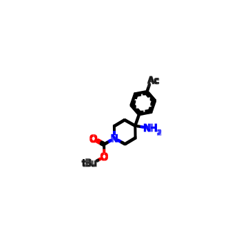 CC(=O)c1ccc(C2(N)CCN(C(=O)OC(C)(C)C)CC2)cc1